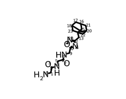 NCC(=O)NCC(=O)NCc1nc(CC23CC4CC(CC(C4)C2)C3)no1